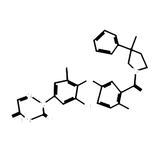 CC1(c2ccccc2)CCN(C(=O)c2cc(Oc3c(Cl)cc(-n4ncc(=O)[nH]c4=O)cc3Cl)ccc2O)C1